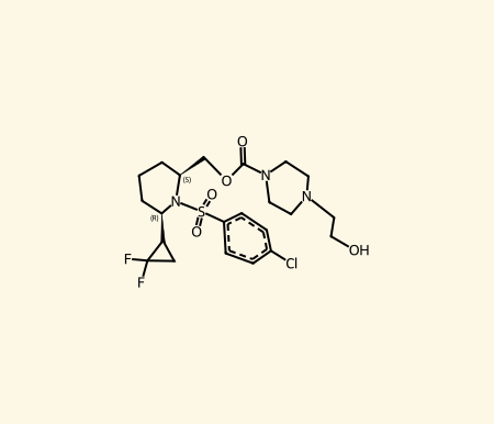 O=C(OC[C@@H]1CCC[C@H](C2CC2(F)F)N1S(=O)(=O)c1ccc(Cl)cc1)N1CCN(CCO)CC1